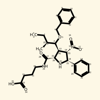 CC[C@H](C)C(OCc1ccccc1)[C@H]1[C@H]([N+](=O)[O-])[C@H](c2ccccc2)N[C@@H]1C(=O)NCCCC(=O)O